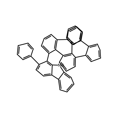 c1ccc(-c2cccc(-c3c(-c4ccccc4)ccc4c3[nH]c3ccccc34)c2-c2cccc3c4ccccc4c4ccccc4c23)cc1